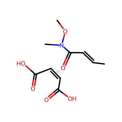 CC=CC(=O)N(C)OC.O=C(O)/C=C\C(=O)O